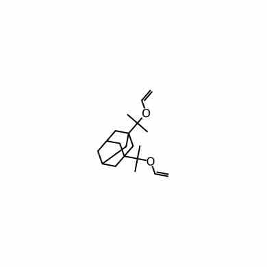 C=COC(C)(C)C12CC3CC(C1)CC(C(C)(C)OC=C)(C3)C2